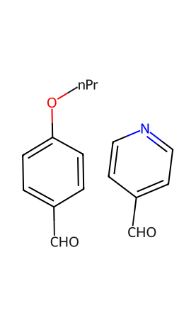 CCCOc1ccc(C=O)cc1.O=Cc1ccncc1